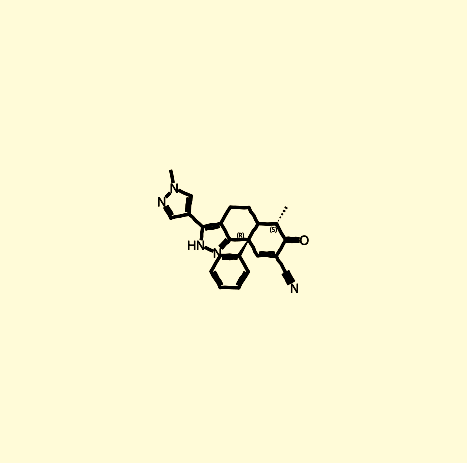 C[C@@H]1C(=O)C(C#N)=C[C@]2(c3ccccc3)c3n[nH]c(-c4cnn(C)c4)c3CCC12